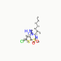 CCCCCC(C)C1=NS(=O)(=O)c2sc(Cl)cc2N1N